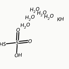 O.O.O.O.O.O=S(=O)(O)S.[KH]